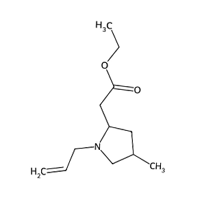 C=CCN1CC(C)CC1CC(=O)OCC